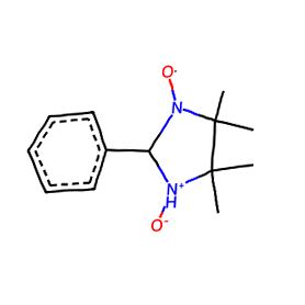 CC1(C)N([O])C(c2ccccc2)[NH+]([O-])C1(C)C